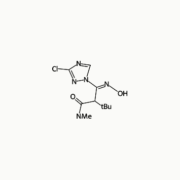 CNC(=O)C(C(=NO)n1cnc(Cl)n1)C(C)(C)C